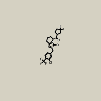 O=C(C1CCC(F)(F)C1)[C@@H]1CCCc2nn(Cc3ccc(C(F)(F)F)c(Cl)c3)c(=O)n21